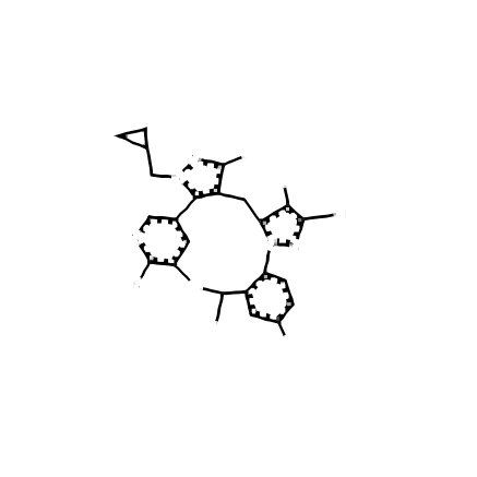 Cc1nn2c(c1Cl)Cc1c(C)nn(CC3CC3)c1-c1cnc(N)c(c1)OC(C)c1cc(F)ccc1-2